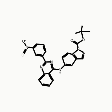 CC(C)(C)OC(=O)n1ncc2cc(Nc3nc(-c4cccc([N+](=O)[O-])c4)nc4ccccc34)ccc21